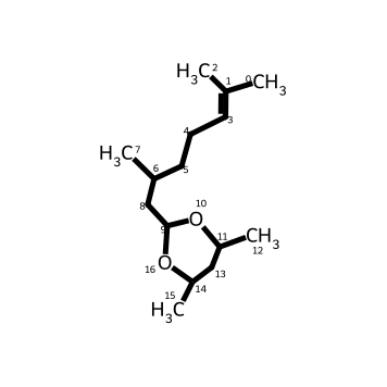 CC(C)=CCCC(C)CC1OC(C)CC(C)O1